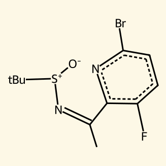 C/C(=N/[S+]([O-])C(C)(C)C)c1nc(Br)ccc1F